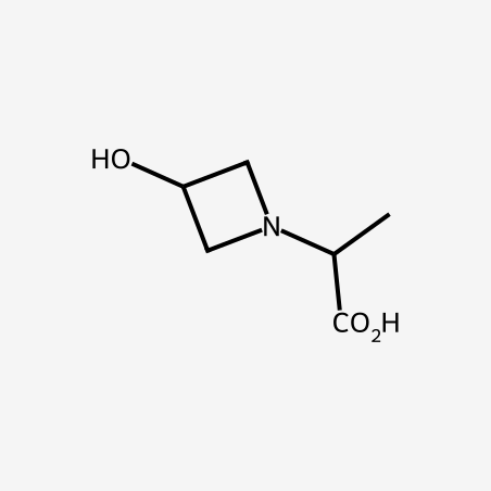 CC(C(=O)O)N1CC(O)C1